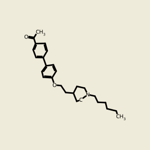 CCCCCCN1CCC(CCOc2ccc(-c3ccc(C(C)=O)cc3)cc2)CC1